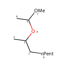 CCCCCCC(C)OC(C)OC